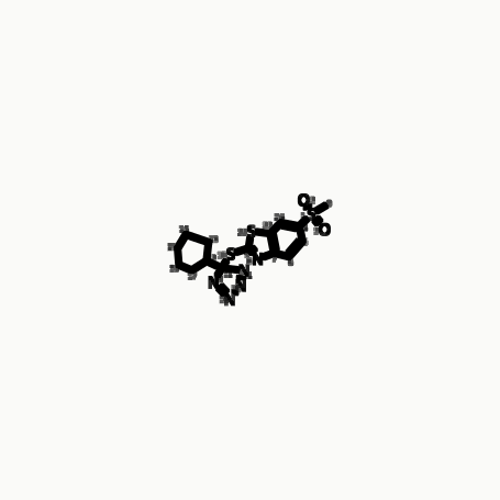 CS(=O)(=O)c1ccc2nc(SC3(C4CCCCC4)N=NN=N3)sc2c1